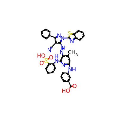 Cc1cc(Nc2cccc(C(=O)O)c2)nc(Nc2ccccc2S(=O)(=O)O)c1N=Nc1c(C#N)c(-c2ccccc2)nn1-c1nc2ccccc2s1